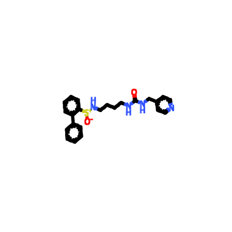 O=C(NCCCCN[S+]([O-])c1ccccc1-c1ccccc1)NCc1ccncc1